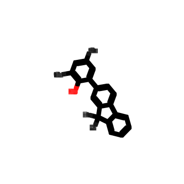 CCC1(CC)c2ccccc2-c2ccc(-c3cc(C(C)(C)C)cc(C(C)(C)C)c3O)cc21